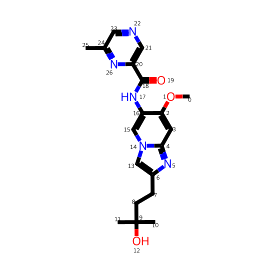 COc1cc2nc(CCC(C)(C)O)cn2cc1NC(=O)c1cncc(C)n1